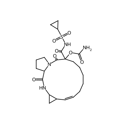 NC(=O)OC1(C(=O)NS(=O)(=O)C2CC2)CCCCC/C=C\C2CC2NC(=O)C2CCCN2C1=O